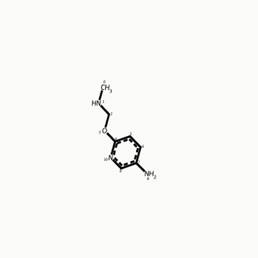 CNCOc1ccc(N)cn1